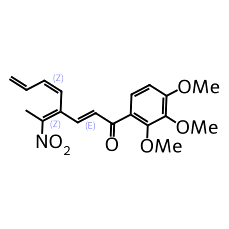 C=C\C=C/C(/C=C/C(=O)c1ccc(OC)c(OC)c1OC)=C(\C)[N+](=O)[O-]